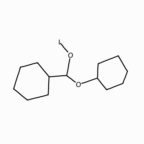 IOC(OC1CCCCC1)C1CCCCC1